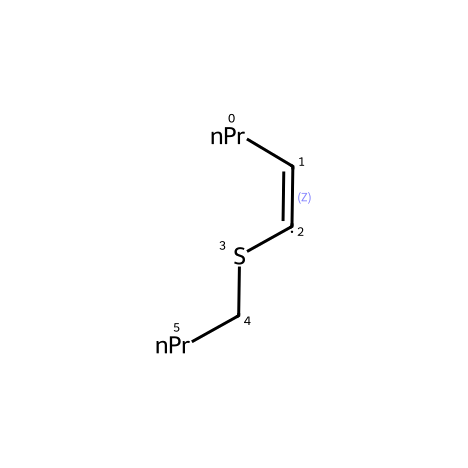 CCC/C=[C]\SCCCC